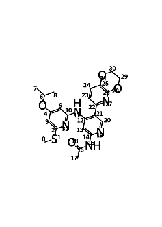 CSc1cc(OC(C)C)cc(Nc2cc(NC(C)=O)ncc2-c2ccc3c(n2)OCCO3)n1